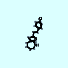 Clc1ccc(/C=C/c2nc3c(s2)NCCCC3)cc1